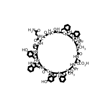 CCCC[C@H]1C(=O)N(C)CC(=O)N[C@@H](CC(=O)O)C(=O)N[C@@H](C(C)C)C(=O)N(C)[C@@H](Cc2ccccc2)C(=O)N[C@@H](Cc2ccc(O)cc2)C(=O)N(C)CC(=O)N[C@@H](Cc2c[nH]c3ccccc23)C(=O)N[C@@H](Cc2ccc(O)cc2)C(=O)N[C@@H](CC(C)C)C(=O)N[C@H](C(=O)NCC(N)=O)CCC(=O)NCC(=O)N[C@@H](Cc2ccccc2)CN(C)[C@@H](Cc2ccccc2)C(=O)N1C